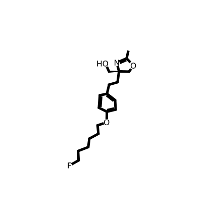 CC1=N[C@@](CO)(CCc2ccc(OCCCCCCF)cc2)CO1